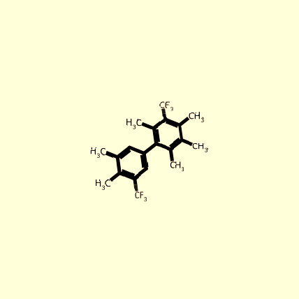 Cc1cc(-c2c(C)c(C)c(C)c(C(F)(F)F)c2C)cc(C(F)(F)F)c1C